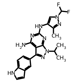 Cc1nn(C(F)F)cc1Nc1nc(N)c2c(-c3ccc4[nH]ccc4c3)nn(C(C)C)c2n1